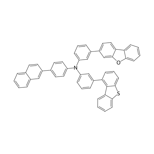 c1cc(-c2ccc3c(c2)oc2ccccc23)cc(N(c2ccc(-c3ccc4ccccc4c3)cc2)c2cccc(-c3cccc4sc5ccccc5c34)c2)c1